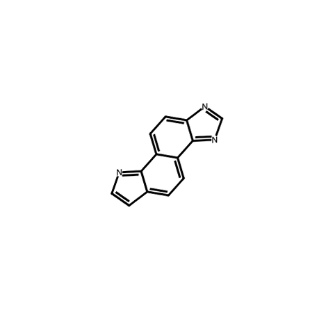 C1=Cc2ccc3c4c(ccc3c2=N1)N=CN=4